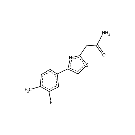 NC(=O)Cc1nc(-c2ccc(C(F)(F)F)c(F)c2)cs1